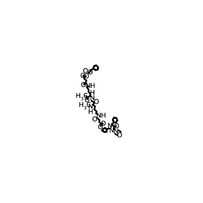 CNC(CCCCNC(=O)CCC(=O)Oc1cccc(-c2nc(N3CCOCC3)c3oc4ccccc4c3n2)c1)C(=O)CNC(CCCCNC(=O)CCC(=O)OC(=O)OCc1ccccc1)C(C)=O